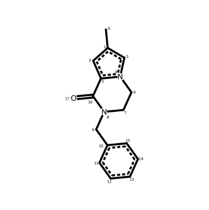 Cc1cc2n(c1)CCN(Cc1ccccc1)C2=O